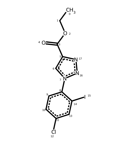 CCOC(=O)c1cn(-c2ccc(Cl)cc2I)nn1